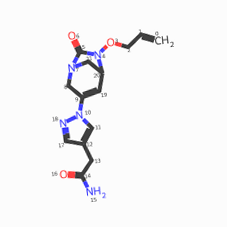 C=CCON1C(=O)N2CC(n3cc(CC(N)=O)cn3)=CC1C2